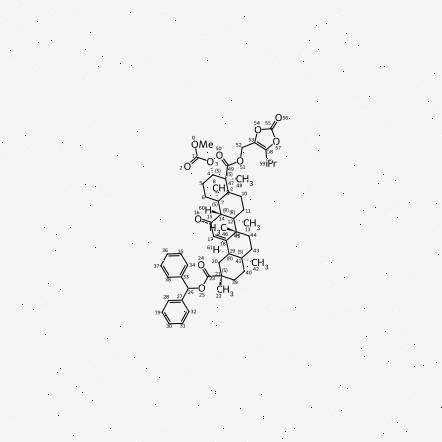 COC(=O)O[C@H]1CC[C@@]2(C)C(CC[C@]3(C)[C@@H]2C(=O)C=C2[C@@H]4C[C@@](C)(C(=O)OC(c5ccccc5)c5ccccc5)CC[C@]4(C)CC[C@]23C)[C@]1(C)C(=O)OCc1oc(=O)oc1C(C)C